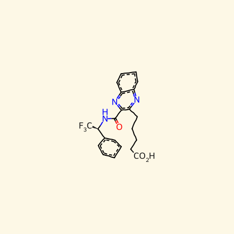 O=C(O)CCCCc1nc2ccccc2nc1C(=O)N[C@@H](c1ccccc1)C(F)(F)F